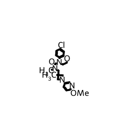 COc1ccc(N2CC(C)(CN(C)C(=O)N3CCOc4cc(Cl)ccc43)C2)cn1